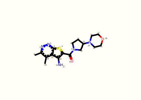 Cc1nnc2sc(C(=O)N3CCC(N4CCOCC4)C3)c(N)c2c1C